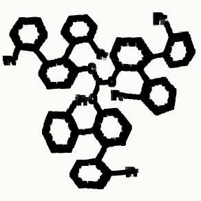 CC(C)c1ccccc1-c1cccc(OP(Oc2cccc(-c3ccccc3C(C)C)c2-c2ccccc2C(C)C)Oc2cccc(-c3ccccc3C(C)C)c2-c2ccccc2C(C)C)c1-c1ccccc1C(C)C